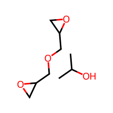 C(OCC1CO1)C1CO1.CC(C)O